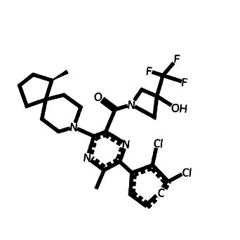 Cc1nc(N2CCC3(CCC[C@H]3C)CC2)c(C(=O)N2CC(O)(C(F)(F)F)C2)nc1-c1cccc(Cl)c1Cl